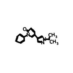 CC(C)n1cc(-c2ccc(=O)n(-c3ccccc3)c2)cn1